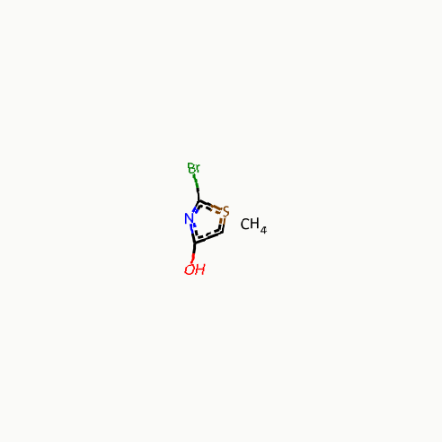 C.Oc1csc(Br)n1